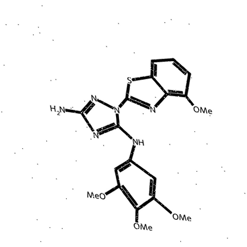 COc1cc(Nc2nc(N)nn2-c2nc3c(OC)cccc3s2)cc(OC)c1OC